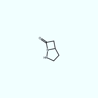 O=C1CC2CCNN12